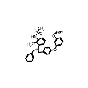 CCCC(C)Oc1cccc(Oc2ccc(CN(Cc3ccccc3)c3cccc(NS(C)(=O)=O)c3C)cc2)c1